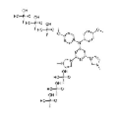 COc1ccc(N(c2ccc(OC)cc2)c2cc(N3C=CN(C)C3)nc(N3C=CN(C)C3)c2)cc1.O=P(O)(O)F.O=P(O)(O)F.O=P(O)(O)F.O=P(O)(O)F.O=P(O)(O)F.O=P(O)(O)F